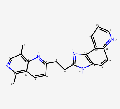 Cc1ncc(C)c2nc(CCc3nc4c(ccc5ncccc54)[nH]3)ccc12